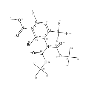 COC(=O)c1c(F)cc(C(F)(F)F)c(N(C(=O)OC(C)(C)C)C(=O)OC(C)(C)C)c1Br